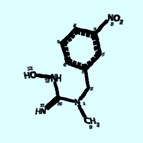 CN(Cc1cccc([N+](=O)[O-])c1)C(=N)NO